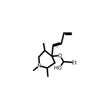 C=C/C=C/C1(OC(O)CC)CC(C)N(C)CC1C